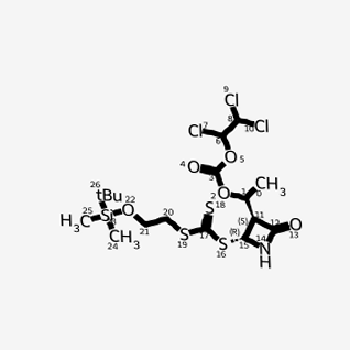 CC(OC(=O)OC(Cl)C(Cl)Cl)[C@H]1C(=O)N[C@@H]1SC(=S)SCCO[Si](C)(C)C(C)(C)C